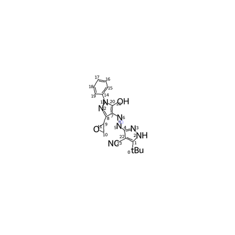 CC(C)(C)c1[nH]nc(/N=N/c2c(C3CO3)nn(-c3ccccc3)c2O)c1C#N